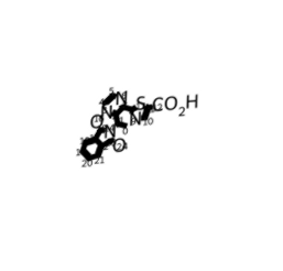 CC(c1nccnc1-c1ncc(C(=O)O)s1)N1C(=O)c2ccccc2C1=O